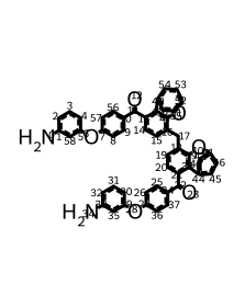 Nc1cccc(Oc2ccc(C(=O)c3ccc(Cc4ccc(C(=O)c5ccc(Oc6cccc(N)c6)cc5)c5c4Oc4ccc-5cc4)c4c3-c3ccc(cc3)O4)cc2)c1